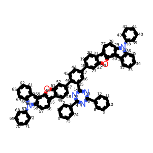 c1ccc(-c2nc(-c3ccccc3)nc(-c3cc(-c4ccc5c(c4)oc4c5ccc5c4c4ccccc4n5-c4ccccc4)ccc3-c3ccc4c(c3)oc3c4ccc4c3c3ccccc3n4-c3ccccc3)n2)cc1